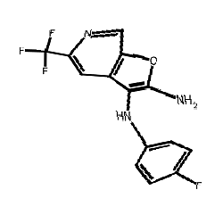 Nc1oc2cnc(C(F)(F)F)cc2c1Nc1ccc(F)cc1